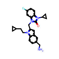 NCc1ccc2c(c1)cc(Cn1c(=O)n(C3CC3)c3ccc(F)cc31)n2CCC1CC1